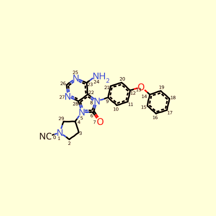 N#CN1CCC(n2c(=O)n(-c3ccc(Oc4ccccc4)cc3)c3c(N)ncnc32)C1